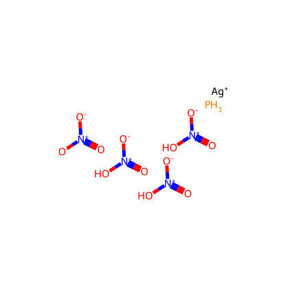 O=[N+]([O-])O.O=[N+]([O-])O.O=[N+]([O-])O.O=[N+]([O-])[O-].P.[Ag+]